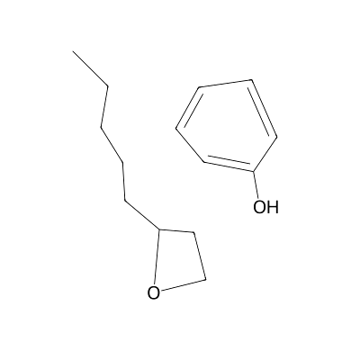 CCCCCC1CCO1.Oc1ccccc1